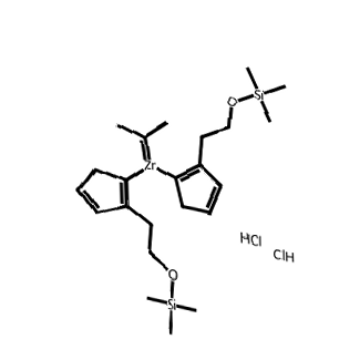 C[C](C)=[Zr]([C]1=C(CCO[Si](C)(C)C)C=CC1)[C]1=C(CCO[Si](C)(C)C)C=CC1.Cl.Cl